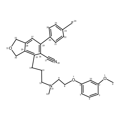 COc1cccc(OCCN(C)CCCc2c(C#N)c(-c3ccc(F)cc3)cc3c2COC3)c1